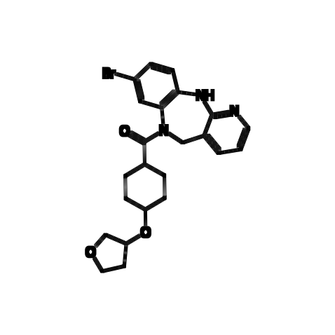 O=C(C1CCC(OC2CCOC2)CC1)N1Cc2cccnc2Nc2ccc(Br)cc21